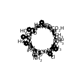 CCCC[C@H]1C(=O)N(C)CC(=O)N[C@@H](CC(=O)O)C(=O)N[C@@H](C(C)C)C(=O)N(C)[C@@H](Cc2ccccc2)C(=O)N[C@H]2Cc3ccc(O)cc3N(CC(=O)N[C@@H](Cc3csc4ccccc34)C(=O)N[C@@H](Cc3ccc(O)cc3)C(=O)N[C@@H](CC(C)C)C(=O)N[C@H](C(=O)NCC(N)=O)CSCC(=O)N[C@@H](Cc3cccc(Cl)c3)C(=O)N(C)[C@@H](Cc3ccccc3)C(=O)N1C)C2=O